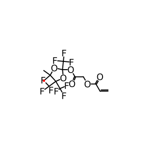 C=CC(=O)OCC(=O)OC1(C(F)(F)F)OC(C)(C)C(C(F)(F)F)(C(F)(F)F)O1